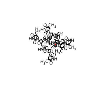 CC1=CN([C@H]2CC(O[P@](=O)(S)OC[C@H]3O[C@@H](n4cc(C)c(=O)[nH]c4=O)CC3O[P@](=O)(S)OC[C@H]3O[C@@H](n4cc(C)c(=O)[nH]c4=O)CC3O[P@](=O)(S)OC[C@H]3O[C@@H](n4cc(C)c(=O)[nH]c4=O)CC3O)[C@@H](CO[P@@](=O)(S)OC3C[C@H](n4cc(C)c(=O)[nH]c4=O)O[C@@H]3C)O2)C(=O)NC1